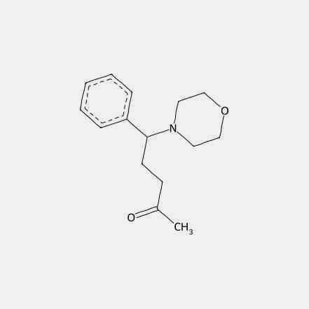 CC(=O)CCC(c1ccccc1)N1CCOCC1